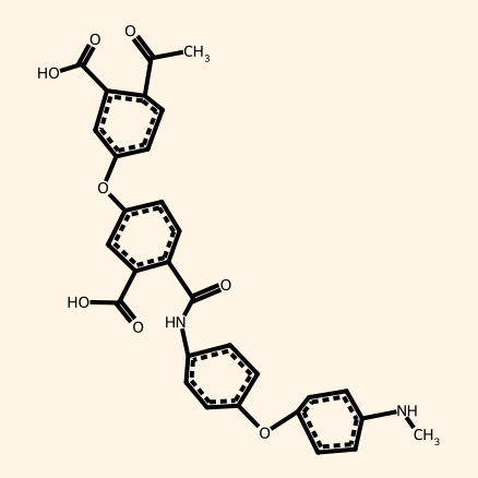 CNc1ccc(Oc2ccc(NC(=O)c3ccc(Oc4ccc(C(C)=O)c(C(=O)O)c4)cc3C(=O)O)cc2)cc1